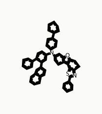 c1ccc(-c2ccc(N(c3ccc(-c4ccccc4)c(-c4ccc5ccccc5c4)c3)c3ccc4c(c3)oc3ccc5nc(-c6ccccc6)sc5c34)cc2)cc1